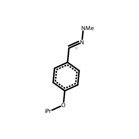 CN/N=C/c1ccc(OC(C)C)cc1